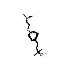 CN(C)CCOc1ccc(CCC(C)(C)O)cc1